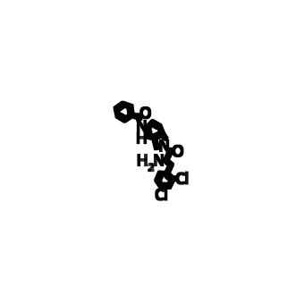 N[C@H](Cc1ccc(Cl)cc1Cl)C(=O)N1Cc2ccc(NC(=O)c3ccccc3)cc2C1